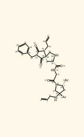 C=CCN[C@@]1(C(C)=O)C[C@@H](C(C)=O)N(C(=O)CNC(=O)[C@@H]2C[C@]3(CN2)C(=O)N(Cc2ccccc2)C(=O)N3CC=C)C1